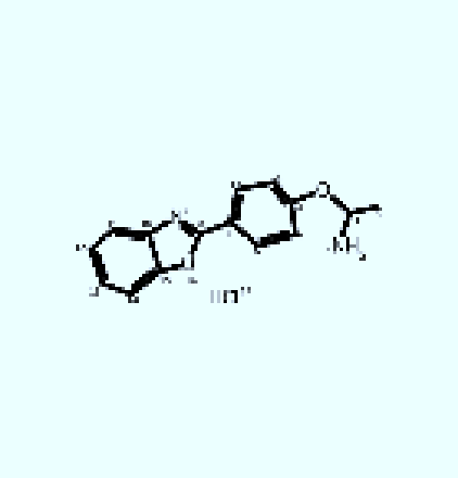 CC(N)Oc1ccc(-c2nc3ccccc3o2)cc1.Cl